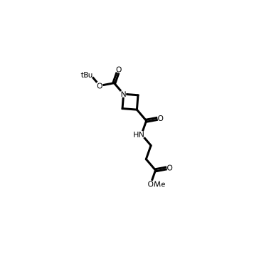 COC(=O)CCNC(=O)C1CN(C(=O)OC(C)(C)C)C1